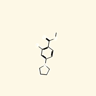 COC(=O)c1ccc(N2CCCC2)cc1F